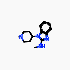 CNc1nc2ccccc2n1C1CC[N]CC1